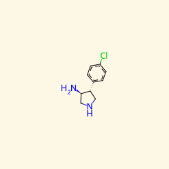 N[C@@H]1CNC[C@H]1c1ccc(Cl)cc1